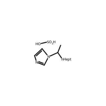 CCCCCCCC(C)n1ccnc1.O=S(=O)(O)O